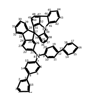 c1ccc(-c2ccc(N(c3ccc(-c4ccccc4)cc3)c3ccc4c(c3)C3(c5ccccc5-4)c4ccccc4-n4c5ccccc5c5cccc3c54)cc2)cc1